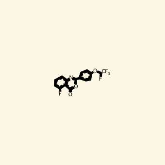 O=c1oc(-c2ccc(OC(F)C(F)(F)F)cc2)nc2cccc(F)c12